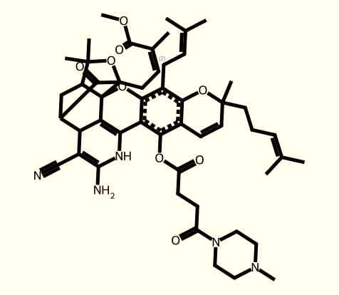 COC(=O)/C(C)=C\CC12OC(C)(C)C3CC(C1=O)C1C(C#N)=C(N)NC4=C1C32Oc1c(CC=C(C)C)c2c(c(OC(=O)CCC(=O)N3CCN(C)CC3)c14)C=CC(C)(CCC=C(C)C)O2